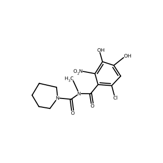 CN(C(=O)c1c(Cl)cc(O)c(O)c1[N+](=O)[O-])C(=O)N1CCCCC1